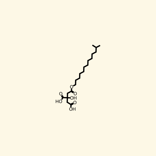 CC(C)CCCCCCCCCCCOC(=O)CC(O)(CC(=O)O)C(=O)O